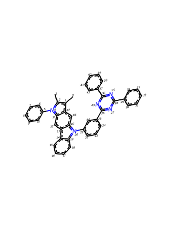 Cc1c(C)n(-c2ccccc2)c2cc3c4ccccc4n(-c4cccc(-c5nc(-c6ccccc6)nc(-c6ccccc6)n5)c4)c3cc12